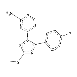 CSc1nc(-c2ccc(F)cc2)c(-c2ccnc(N)c2)s1